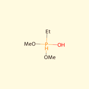 CC[PH](O)(OC)OC